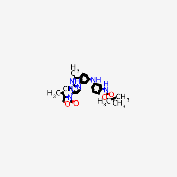 CC(C)C1COC(=O)N1c1ccnc(N[C@@H](C)c2ccc(Nc3cccc(NC(=O)OC(C)(C)C)c3)cc2)n1